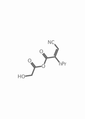 CCCC(=CC#N)C(=O)OC(=O)CO